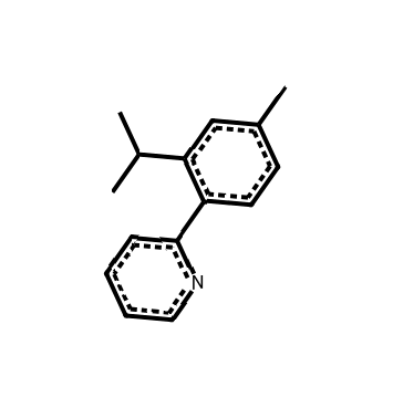 Cc1ccc(-c2ccccn2)c(C(C)C)c1